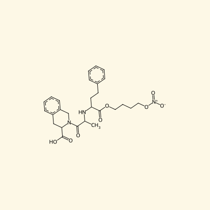 CC(NC(CCc1ccccc1)C(=O)OCCCCO[N+](=O)[O-])C(=O)N1Cc2ccccc2CC1C(=O)O